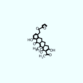 CC(=O)C1=C(O)CC2CC3Cc4c(CC(=O)c5ccco5)ccc(O)c4C(=O)C3=C(C)C2(C)C1=O